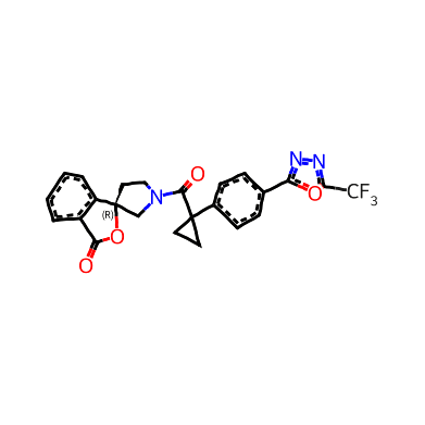 O=C1O[C@]2(CCN(C(=O)C3(c4ccc(-c5nnc(C(F)(F)F)o5)cc4)CC3)C2)c2ccccc21